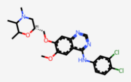 COc1cc2c(Nc3ccc(Cl)c(Cl)c3)ncnc2cc1OC[C@H]1CN(C)C(C)C(C)O1